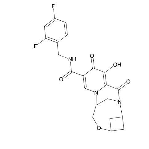 O=C(NCc1ccc(F)cc1F)c1cn2c(c(O)c1=O)C(=O)N1CC2COC2CC1C2